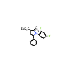 CCOC(=O)c1cc(-c2ccccc2)n(-c2ccc(F)cc2F)c1C